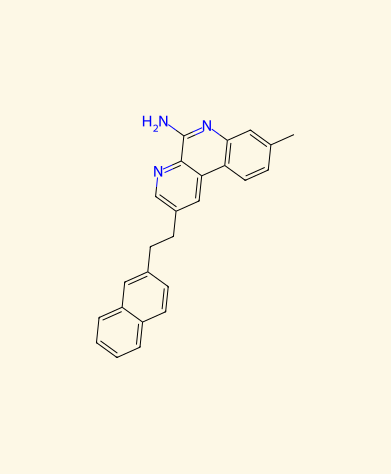 Cc1ccc2c(c1)nc(N)c1ncc(CCc3ccc4ccccc4c3)cc12